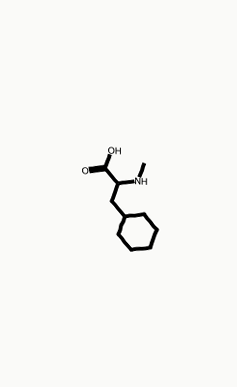 CNC(CC1CCCCC1)C(=O)O